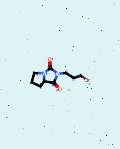 O=C1C2CCCN2C(=O)N1CCCBr